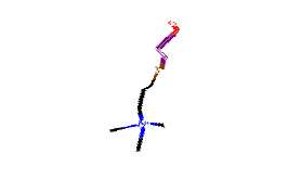 C[N+](C)(C)CCSP=O